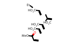 C=C(C)C(=O)O.C=CC(=O)O.C=CC(=O)O.C=CC(=O)O.C=CC(=O)OC.CCC